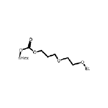 CCCCCCOC(=O)OCCCOCCOCC